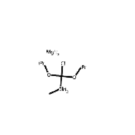 C[SiH2]C(Cl)(OC(C)C)OC(C)C.[MgH2]